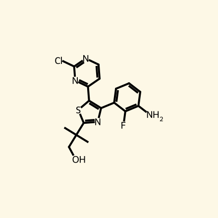 CC(C)(CO)c1nc(-c2cccc(N)c2F)c(-c2ccnc(Cl)n2)s1